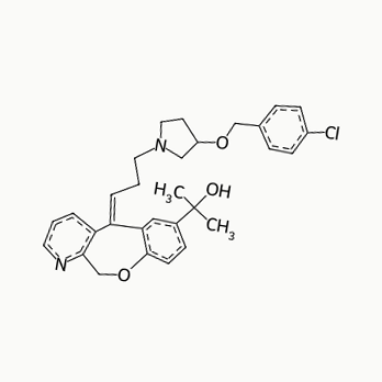 CC(C)(O)c1ccc2c(c1)C(=CCCN1CCC(OCc3ccc(Cl)cc3)C1)c1cccnc1CO2